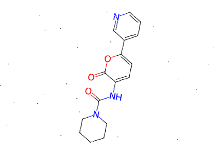 O=C(Nc1ccc(-c2cccnc2)oc1=O)N1CCCCC1